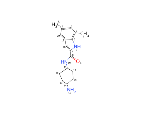 Cc1cc(C)c2[nH]c(C(=O)NC3CCC(N)CC3)cc2c1